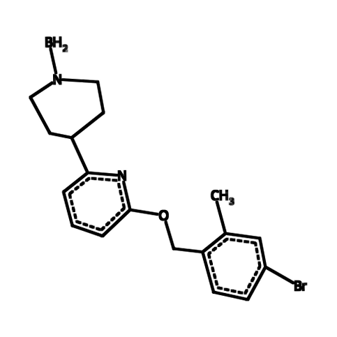 BN1CCC(c2cccc(OCc3ccc(Br)cc3C)n2)CC1